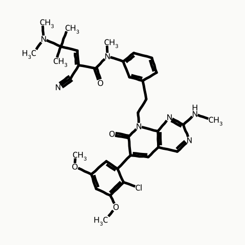 CNc1ncc2cc(-c3cc(OC)cc(OC)c3Cl)c(=O)n(CCc3cccc(N(C)C(=O)/C(C#N)=C/C(C)(C)N(C)C)c3)c2n1